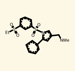 CCS(=O)(=O)c1cccc(S(=O)(=O)n2cc(CNC)cc2-c2ccccc2)c1